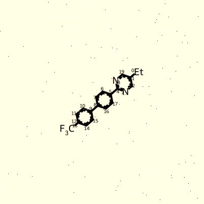 CCc1cnc(-c2ccc(-c3ccc(C(F)(F)F)cc3)cc2)nc1